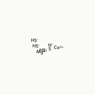 [Co+2].[Mg+2].[SH-].[SH-].[SH-].[SH-]